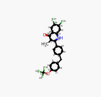 Cc1c(-c2ccc(Cc3ccc(OC(F)(F)F)cc3)cc2)[nH]c2cc(F)c(F)cc2c1=O